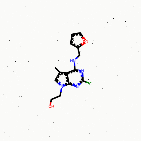 Cc1cn(CCO)c2nc(Cl)nc(NCc3ccco3)c12